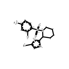 CCc1cnc(C2CCCCN2S(=O)(=O)c2ccc(C(F)(F)F)cc2Cl)s1